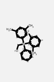 Cc1cc(C)cc([Si](CCl)(c2ccccc2)c2c(C)cccc2C)c1